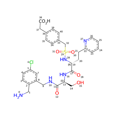 NCc1ccc(Cl)cc1CNC(=O)[C@H](CO)NC(=O)[C@@H](CCc1ccccn1)NS(=O)(=O)Cc1ccc(CC(=O)O)cc1